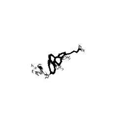 CCC(CCCC1CCC2C3CC=C4CC(NN(C)CC)CCC4(C)C3CCC12C)C(C)C